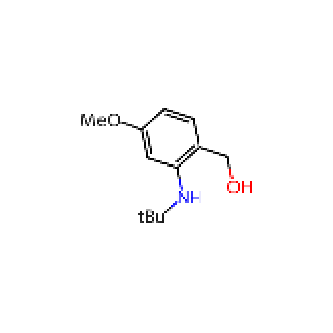 COc1ccc(CO)c(NC(C)(C)C)c1